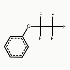 FC(F)(F)C(F)(F)Oc1cc[c]cc1